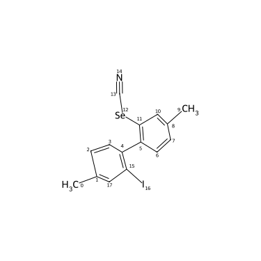 Cc1ccc(-c2ccc(C)cc2[Se]C#N)c(I)c1